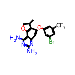 CC1COc2c1c(Oc1cc(Br)cc(C(F)(F)F)c1)cc1nc(N)nc(N)c21